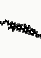 C/C=C\Cc1ccc(-c2ccc(-c3ccc(C4CCC(CC)OC4)c(F)c3F)cc2)c(F)c1F